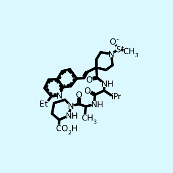 CCc1ccc2ccc(/C=C/C3(C(=O)NC(C(=O)NC(C)C(=O)N4CCCC(C(=O)O)N4)C(C)C)CCN([S+](C)[O-])CC3)cc2n1